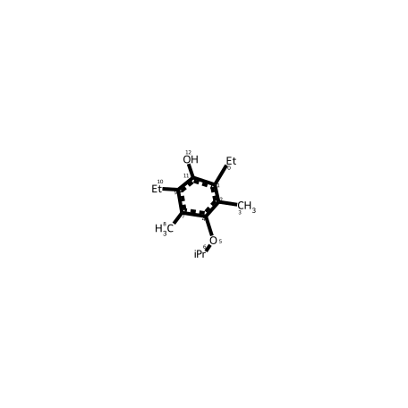 CCc1c(C)c(OC(C)C)c(C)c(CC)c1O